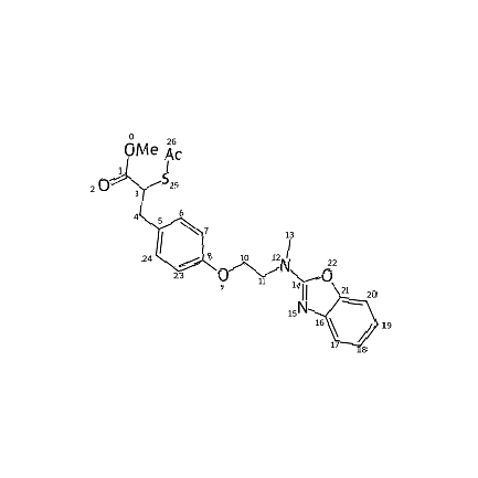 COC(=O)C(Cc1ccc(OCCN(C)c2nc3ccccc3o2)cc1)SC(C)=O